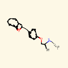 CC(C)C(COc1ccc(-c2cc3ccccc3o2)cc1)NC(=O)O